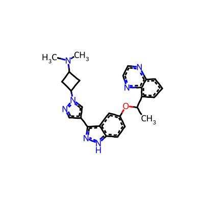 CC(Oc1ccc2[nH]nc(-c3cnn(C4CC(N(C)C)C4)c3)c2c1)c1cccc2nccnc12